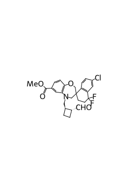 COC(=O)c1ccc2c(c1)N(C[C@@H]1CC[C@H]1C=O)CC1(CCC(F)(F)c3cc(Cl)ccc31)CO2